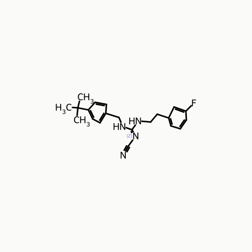 CC(C)(C)c1ccc(CN/C(=N\C#N)NCCc2cccc(F)c2)cc1